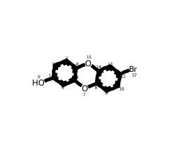 Oc1ccc2c(c1)Oc1ccc(Br)cc1O2